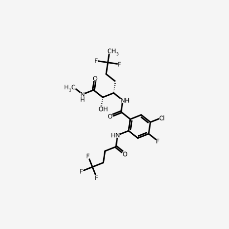 CNC(=O)[C@@H](O)[C@H](CCC(C)(F)F)NC(=O)c1cc(Cl)c(F)cc1NC(=O)CCC(F)(F)F